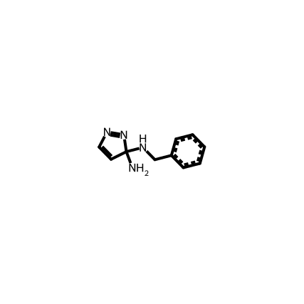 NC1(NCc2ccccc2)C=CN=N1